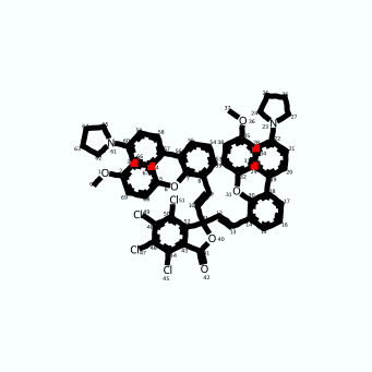 COc1ccc(Oc2c(C=CC3(C=Cc4cccc(-c5ccc(N6CCCC6)cc5)c4Oc4ccc(OC)cc4)OC(=O)c4c(Cl)c(Cl)c(Cl)c(Cl)c43)cccc2-c2ccc(N3CCCC3)cc2)cc1